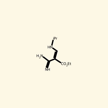 CCOC(=O)/C(=C/NC(C)C)C(=N)N